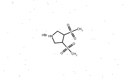 Br.CS(=O)(=O)C1CNCC1S(C)(=O)=O